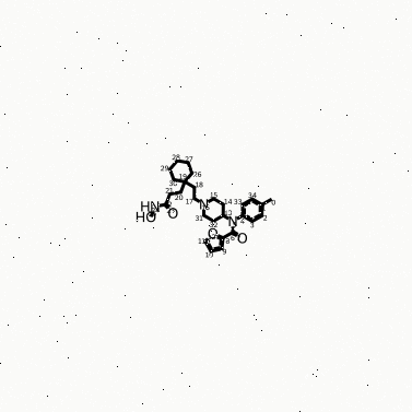 Cc1ccc(N(C(=O)c2ccco2)C2CCN(CCC3(CCC(=O)NO)CCCCC3)CC2)cc1